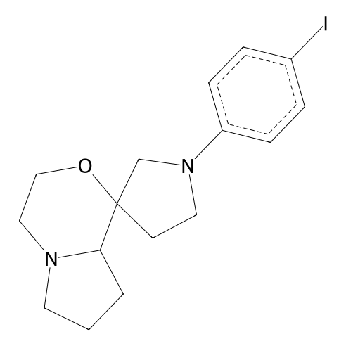 Ic1ccc(N2CCC3(C2)OCCN2CCCC23)cc1